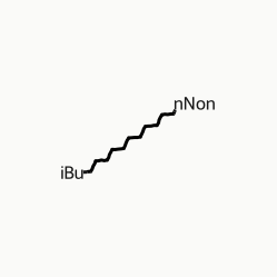 CCCCCCCCCCCCCCCCCCCCC(C)CC